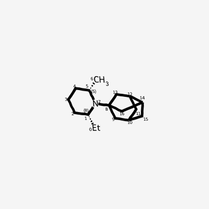 CC[C@@H]1CCC[C@H](C)N1C12CC3CC(C1)C(C3)C2